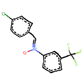 [O-][N+](=Cc1ccc(Cl)cc1)c1cccc(C(F)(F)F)c1